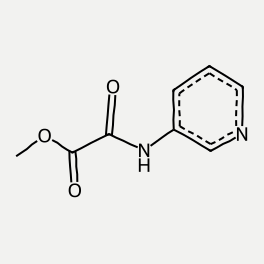 COC(=O)C(=O)Nc1cccnc1